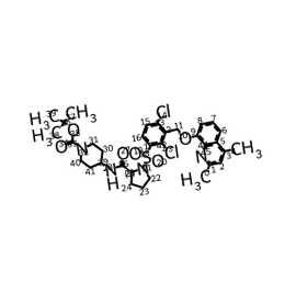 Cc1cc(C)c2cccc(OCc3c(Cl)ccc(S(=O)(=O)N4CCC[C@H]4C(=O)NC4CCN(C(=O)OC(C)(C)C)CC4)c3Cl)c2n1